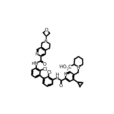 O=C(Nc1cccc(-c2cccc(NC(=O)c3cc(C4CC4)c(CN4CCCCC4C(=O)O)cn3)c2Cl)c1Cl)c1cc2c(cn1)CN(C1COC1)CC2